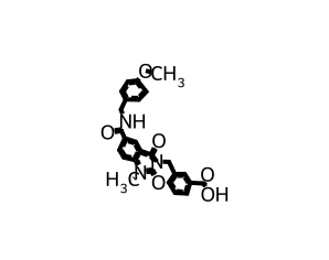 COc1ccc(CNC(=O)c2ccc3c(c2)c(=O)n(Cc2cccc(C(=O)O)c2)c(=O)n3C)cc1